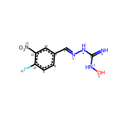 N=C(NO)N/N=C/c1ccc(F)c([N+](=O)[O-])c1